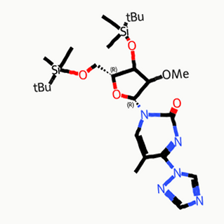 COC1C(O[Si](C)(C)C(C)(C)C)[C@@H](CO[Si](C)(C)C(C)(C)C)O[C@H]1n1cc(C)c(-n2cncn2)nc1=O